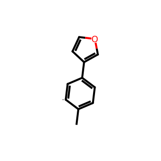 Cc1[c]cc(-c2ccoc2)cc1